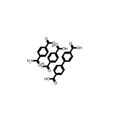 NC(=O)c1ccc(C(=O)O)cc1.NC(=O)c1ccc(C(=O)O)cc1.O=C(O)c1ccc(-c2ccc(C(=O)O)cc2)cc1